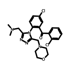 CN(C)Cc1nnc(CN2CCOCC2)n1-c1ccc(Cl)cc1C(=O)c1ccccc1Cl